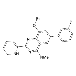 CCOc1cc(-c2cccc(F)c2)cc2c(NC)nc(C3=CC=CCN3)nc12